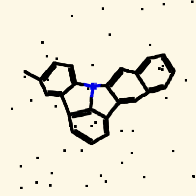 Cc1ccc2c(c1)c1cccc3c4cc5ccccc5cc4n2c13